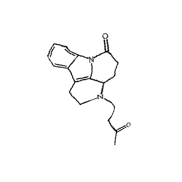 CC(=O)CCN1CCc2c3n(c4ccccc24)C(=O)CCC31